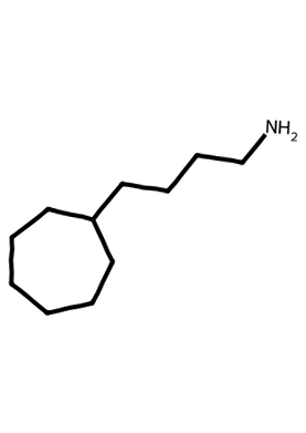 NCCCCC1CCCCCC1